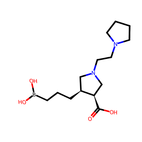 O=C(O)[C@@H]1CN(CCN2CCCC2)C[C@@H]1CCCB(O)O